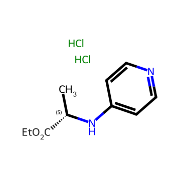 CCOC(=O)[C@H](C)Nc1ccncc1.Cl.Cl